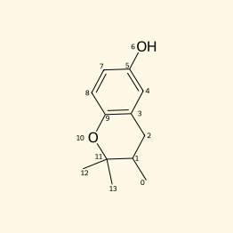 CC1Cc2cc(O)ccc2OC1(C)C